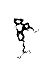 CN(C)CCCOc1ccc2c(c1)-c1sc(CO)cc1-c1ccccc1O2